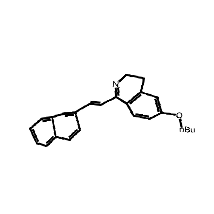 CCCCOc1ccc2c(c1)CCN=C2/C=C/c1ccc2ccccc2c1